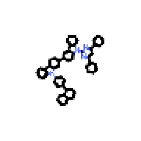 c1ccc(-c2cc(-c3ccccc3)nc(-n3c4ccccc4c4cc(-c5ccc6c7ccccc7n(-c7ccc(-c8cccc9ccccc89)cc7)c6c5)ccc43)n2)cc1